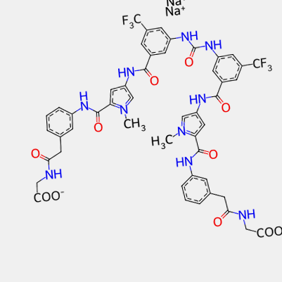 Cn1cc(NC(=O)c2cc(NC(=O)Nc3cc(C(=O)Nc4cc(C(=O)Nc5cccc(CC(=O)NCC(=O)[O-])c5)n(C)c4)cc(C(F)(F)F)c3)cc(C(F)(F)F)c2)cc1C(=O)Nc1cccc(CC(=O)NCC(=O)[O-])c1.[Na+].[Na+]